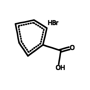 Br.O=C(O)c1ccccc1